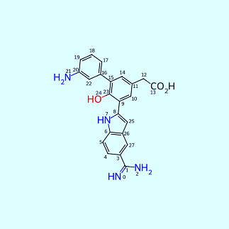 N=C(N)c1ccc2[nH]c(-c3cc(CC(=O)O)cc(-c4cccc(N)c4)c3O)cc2c1